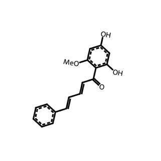 COc1cc(O)cc(O)c1C(=O)C=CC=Cc1ccccc1